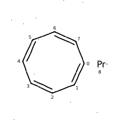 C1=CC=CC=CC=C1.[Pr]